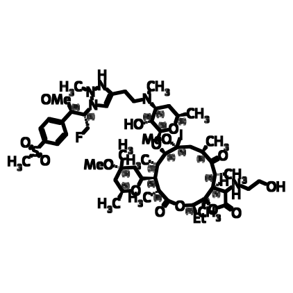 CC[C@H]1OC(=O)[C@H](C)[C@@H](C2C[C@@](C)(OC)C[C@H](C)O2)[C@H](C)[C@@H](O[C@@H]2O[C@H](C)C[C@H](N(C)CCC3=CN([C@H](CF)[C@H](OC)c4ccc(S(C)(=O)=O)cc4)N(C)N3)[C@H]2O)[C@](I)(OC)C[C@@H](C)C(=O)[C@H](C)[C@H]2C(NCCO)C(=O)O[C@@]21C